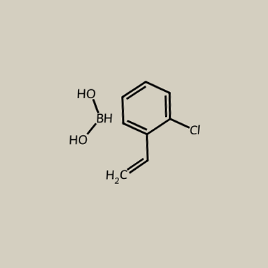 C=Cc1ccccc1Cl.OBO